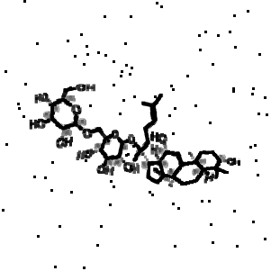 CC(C)=CCCC(C)(O[C@@H]1O[C@H](CO[C@@H]2O[C@H](CO)[C@@H](O)[C@H](O)[C@H]2O)[C@@H](O)[C@H](O)[C@H]1O)[C@H]1CC[C@]2(C)[C@@H]1[C@H](O)CC1[C@@]3(C)CC[C@H](O)C(C)(C)[C@@H]3CC[C@]12C